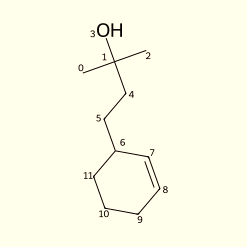 CC(C)(O)CCC1C=CCCC1